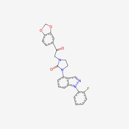 O=C(CN1CCN(c2cccc3c2cnn3-c2ccccc2F)C1=O)c1ccc2c(c1)OCO2